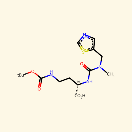 CN(Cc1cncs1)C(=O)N[C@@H](CCNC(=O)OC(C)(C)C)C(=O)O